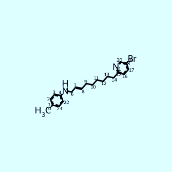 Cc1ccc(NCC=CCCCCCCc2ccc(Br)cn2)cc1